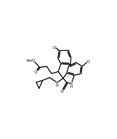 COC(=O)CCC(c1cccc(Cl)c1)C1(NCC2CC2)C(=O)Nc2cc(Cl)ccc21